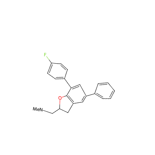 CNCC1Cc2cc(-c3ccccc3)cc(-c3ccc(F)cc3)c2O1